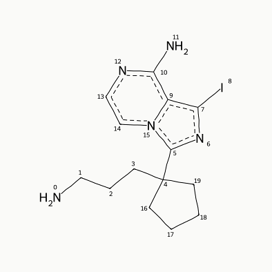 NCCCC1(c2nc(I)c3c(N)nccn23)CCCC1